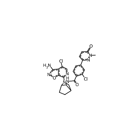 Cn1nc(-c2ccc(C(=O)NC3C4CCC3N(c3ncc(Cl)c5c(N)noc35)C4)c(Cl)c2)ccc1=O